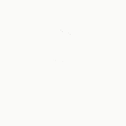 O=C(CCCC=C(F)F)OCCn1cccn1